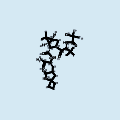 CC(C)(C)[C@H](NC(=O)C(F)(F)Cl)C(=O)N1C[C@H]2[C@@H]([C@H]1C(=O)N[C@@H](CC1CC3(CCC3)NC1=O)C(N)=O)C2(C)C